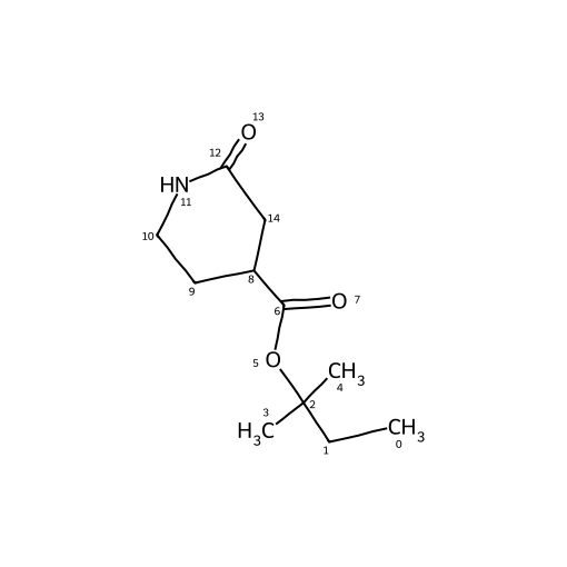 CCC(C)(C)OC(=O)C1CCNC(=O)C1